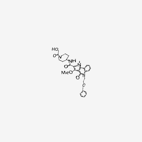 COc1c(C(=O)NC2CCN(C(=O)CO)CC2)n(C)c2c1c(=O)n(CCOCc1ccccc1)c1ccccc21